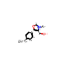 CSc1ccc([C@@H]2OCN(C(C)=O)[C@H]2CO)cc1